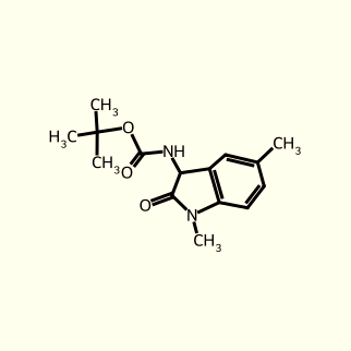 Cc1ccc2c(c1)C(NC(=O)OC(C)(C)C)C(=O)N2C